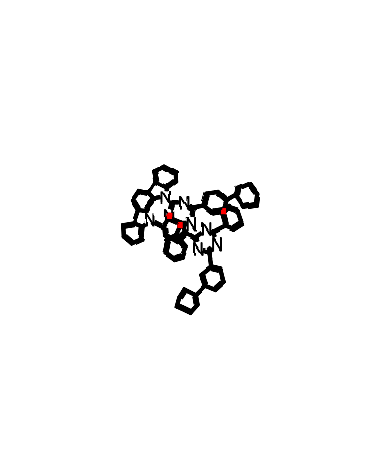 c1ccc(-c2ccc(-c3nc(-c4ccccc4)nc(-n4c5ccccc5c5ccc6c7ccccc7n(-c7ccc(-c8nc(-c9ccccc9)nc(-c9cccc(-c%10ccccc%10)c9)n8)cc7)c6c54)n3)cc2)cc1